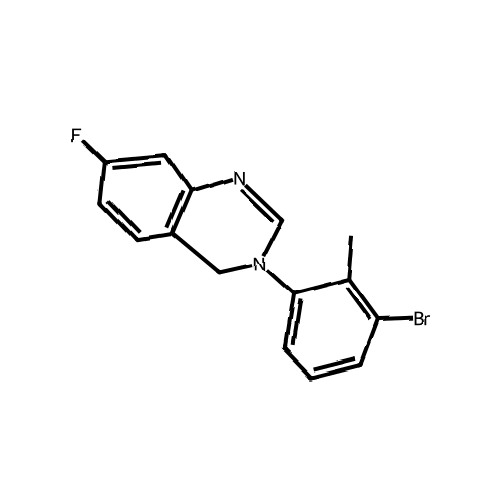 Cc1c(Br)cccc1N1C=Nc2cc(F)ccc2C1